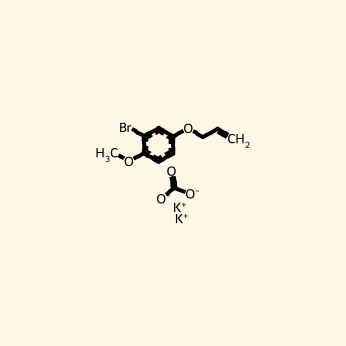 C=CCOc1ccc(OC)c(Br)c1.O=C([O-])[O-].[K+].[K+]